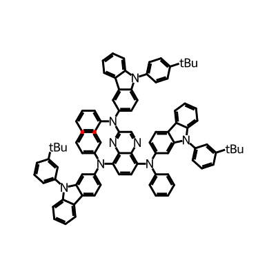 CC(C)(C)c1ccc(-n2c3ccccc3c3cc(N(c4ccccc4)c4cnc5c(N(c6ccccc6)c6ccc7c8ccccc8n(-c8cccc(C(C)(C)C)c8)c7c6)ccc(N(c6ccccc6)c6ccc7c8ccccc8n(-c8cccc(C(C)(C)C)c8)c7c6)c5n4)ccc32)cc1